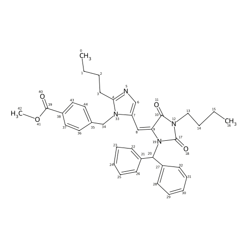 CCCCc1ncc(/C=C2\C(=O)N(CCCC)C(=O)N2C(c2ccccc2)c2ccccc2)n1Cc1ccc(C(=O)OC)cc1